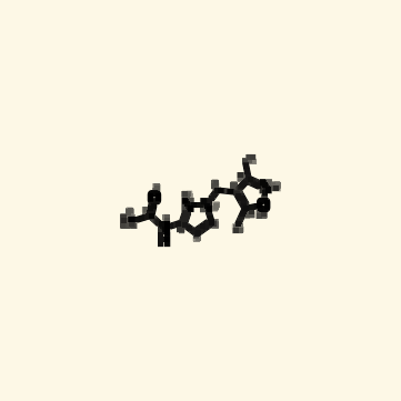 CCC(=O)Nc1ccn(Cc2c(C)noc2C)n1